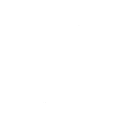 CCCC1(F)COC(/C(F)=C(\F)c2ccc(-c3ccc(OCC)c(F)c3F)cc2)OC1